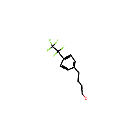 [O]CCCCc1ccc(C(F)(F)C(F)(F)F)cc1